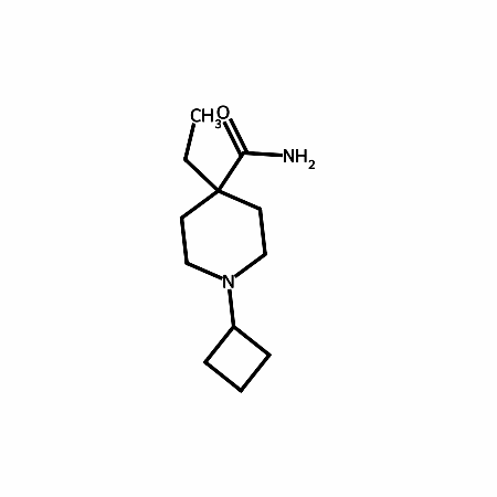 CCC1(C(N)=O)CCN(C2CCC2)CC1